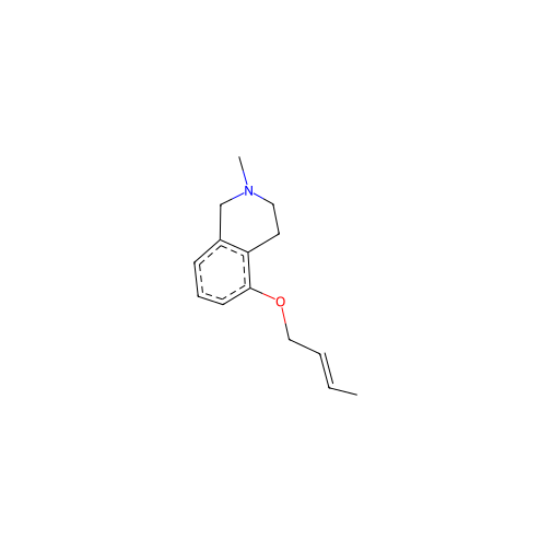 CC=CCOc1cccc2c1CCN(C)C2